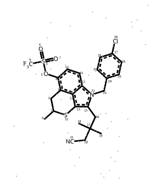 CC1Cc2c(OS(=O)(=O)C(F)(F)F)ccc3c2c(c(CC(C)(C)CC#N)n3Cc2ccc(Cl)cc2)S1